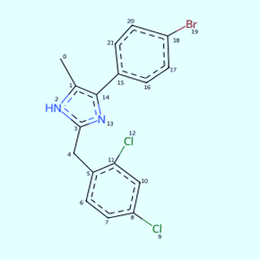 Cc1[nH]c(Cc2ccc(Cl)cc2Cl)nc1-c1ccc(Br)cc1